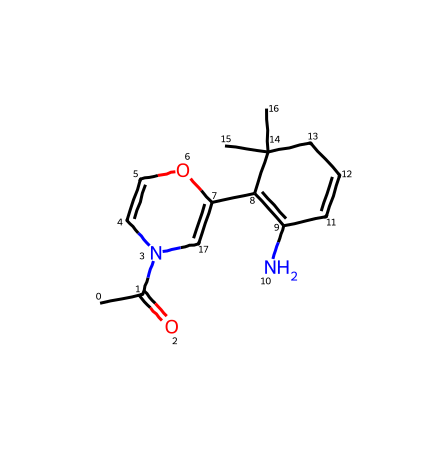 CC(=O)N1C=COC(C2=C(N)C=CCC2(C)C)=C1